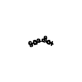 COC(=O)c1ccc(OC[C@H]2CC(=O)N(c3ccc(C(C)(C)C)cc3)C2)cc1